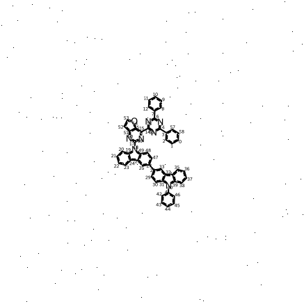 c1ccc(-c2nc(-c3ccccc3)nc(-c3nc(-n4c5ccccc5c5cc(-c6ccc7c(c6)c6ccccc6n7-c6ccccc6)ccc54)nc4ccoc34)n2)cc1